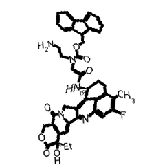 CC[C@@]1(O)C(=O)OCc2c1cc1n(c2=O)Cc2c-1nc1cc(F)c(C)c3c1c2[C@@H](NC(=O)CN(CCN)C(=O)OCC1c2ccccc2-c2ccccc21)CC3